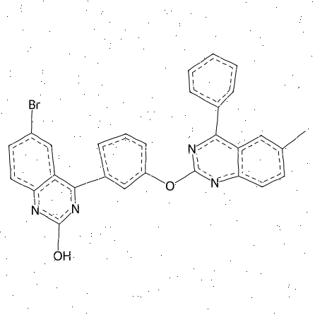 Cc1ccc2nc(Oc3cccc(-c4nc(O)nc5ccc(Br)cc45)c3)nc(-c3ccccc3)c2c1